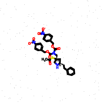 CC(=O)S[C@]1(CN(C(=O)OCc2ccc([N+](=O)[O-])cc2)C(=O)OCc2ccc([N+](=O)[O-])cc2)CN[C@@H](CCc2ccccc2)C1